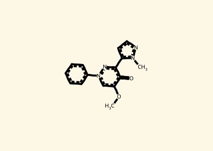 COc1cn(-c2ccccc2)nc(-c2ccnn2C)c1=O